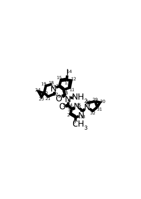 Cc1cc(C(=O)N(N)C(=O)c2ccc(I)cc2N2CCC3(CC2)CC3)nc(N2CC3CC3C2)n1